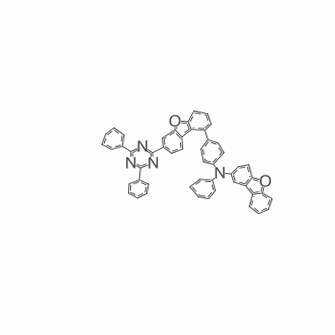 c1ccc(-c2nc(-c3ccccc3)nc(-c3ccc4c(c3)oc3cccc(-c5ccc(N(c6ccccc6)c6ccc7oc8ccccc8c7c6)cc5)c34)n2)cc1